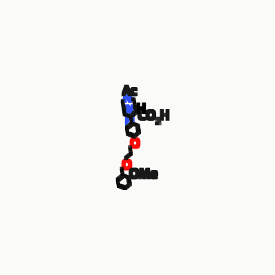 COc1ccccc1COCCCOc1ccc(C2=C(C(=O)O)[C@H]3CN(C(C)=O)CC(C2)N3)cc1